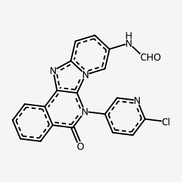 O=CNc1ccc2nc3c4ccccc4c(=O)n(-c4ccc(Cl)nc4)c3n2c1